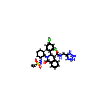 CS(=O)(=O)N[C@H]1CCCCC1N1C(=O)c2ccccc2[C@@H](C(=O)NCC2=NNNN2)[C@@H]1c1ccc(Cl)cc1Cl